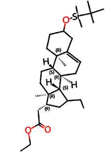 CCOC(=O)C[C@H]1CC(CC)[C@H]2[C@@H]3CC=C4CC(O[Si](C)(C)C(C)(C)C)CC[C@]4(C)[C@H]3CC[C@]12C